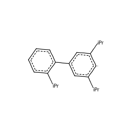 CC(C)c1[c]c(C(C)C)cc(-c2ccccc2C(C)C)c1